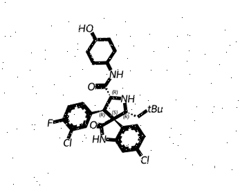 CC(C)(C)C[C@H]1N[C@@H](C(=O)NC2CCC(O)CC2)[C@H](c2ccc(F)c(Cl)c2)[C@@]12C(=O)Nc1cc(Cl)ccc12